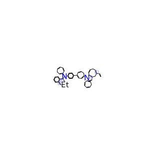 C=C/C1=C(\N(C2=CCC=CC=C2)C2=CC=C(c3ccc(N(C4=CCC=CC=C4)/C(C)=c4\cccc\c4=C\CC)cc3)C=CC2)C=CC/C=C(/C=C)C1